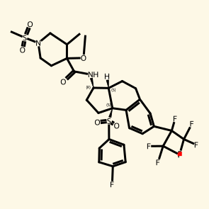 COC1(C(=O)N[C@@H]2CC[C@@]3(S(=O)(=O)c4ccc(F)cc4)c4ccc(C(F)(C(F)(F)F)C(F)(F)F)cc4CC[C@@H]23)CCN(S(C)(=O)=O)CC1C